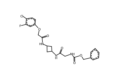 O=C(CNC(=O)OCc1ccccc1)NC1CC(NC(=O)COc2ccc(Cl)c(F)c2)C1